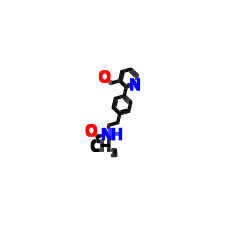 CC(=O)NCCc1ccc(-c2ncccc2C=O)cc1